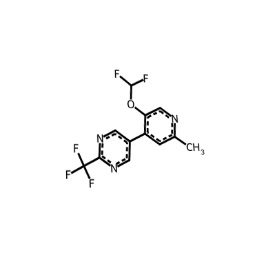 Cc1cc(-c2cnc(C(F)(F)F)nc2)c(OC(F)F)cn1